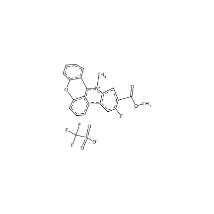 COC(=O)c1cc2c(cc1F)c1cccc3c1c([n+]2C)-c1ccccc1O3.O=S(=O)([O-])C(F)(F)F